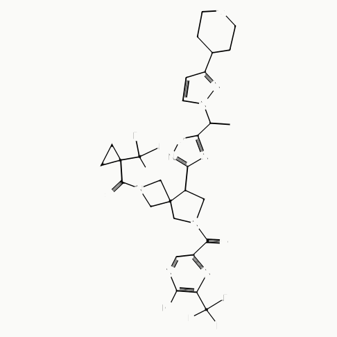 CC(c1nc(C2CN(C(=O)c3cnc(O)c(C(F)(F)F)n3)CC23CN(C(=O)C2(C(F)(F)F)CC2)C3)no1)n1ccc(C2CCOCC2)n1